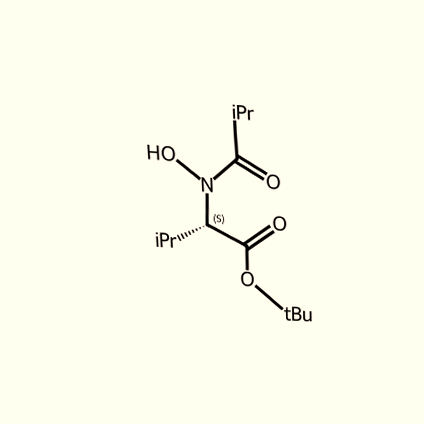 CC(C)C(=O)N(O)[C@H](C(=O)OC(C)(C)C)C(C)C